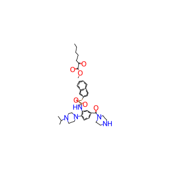 CC(C)N1CCN(c2ccc(C(=O)N3CCNCC3)cc2NS(=O)(=O)c2ccc3ccccc3c2)CC1.CCCCCC(=O)C(=O)OC